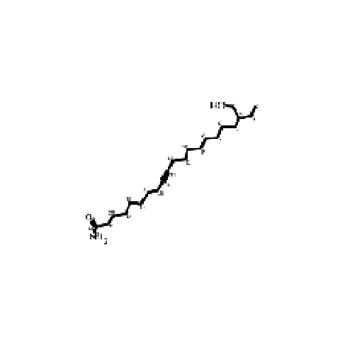 CCC(CO)CCCCCCCCC#CCCCCCCCC(N)=O